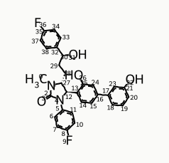 CN1C(=O)N(c2ccc(F)cc2)[C@H](c2ccc(-c3cccc(O)c3)cc2O)[C@H]1CC[C@H](O)c1ccc(F)cc1